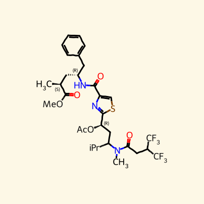 COC(=O)[C@@H](C)C[C@H](Cc1ccccc1)NC(=O)c1csc([C@@H](CC(C(C)C)N(C)C(=O)CC(C(F)(F)F)C(F)(F)F)OC(C)=O)n1